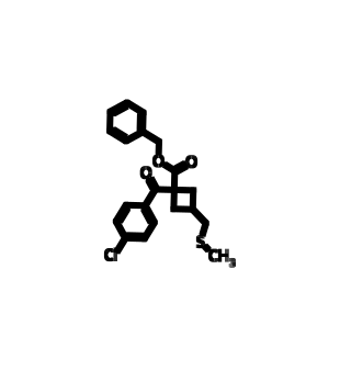 CSCC1CC(C(=O)OCc2ccccc2)(C(=O)c2ccc(Cl)cc2)C1